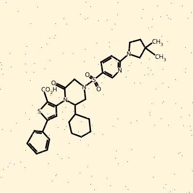 CC1(C)CCN(c2ccc(S(=O)(=O)N3CC(=O)N(c4cc(-c5ccccc5)sc4C(=O)O)C(C4CCCCC4)C3)cn2)C1